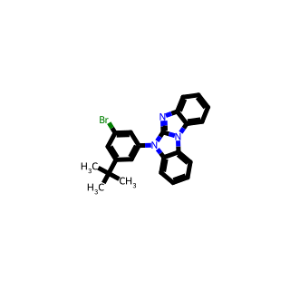 CC(C)(C)c1cc(Br)cc(-n2c3ccccc3n3c4ccccc4nc23)c1